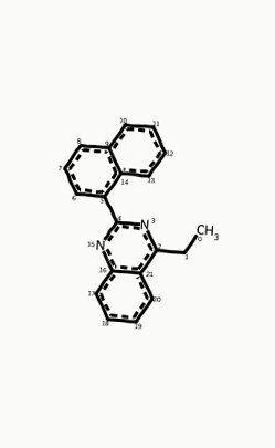 CCc1nc(-c2cccc3ccccc23)nc2ccccc12